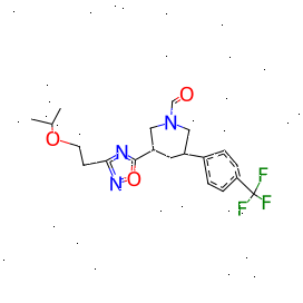 CC(C)OCCc1noc(C2CC(c3ccc(C(F)(F)F)cc3)CN(C=O)C2)n1